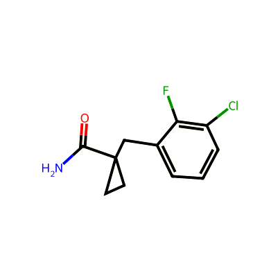 NC(=O)C1(Cc2cccc(Cl)c2F)CC1